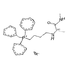 CNC(=O)[C@H](C)NCCCC[P+](c1ccccc1)(c1ccccc1)c1ccccc1.[Br-]